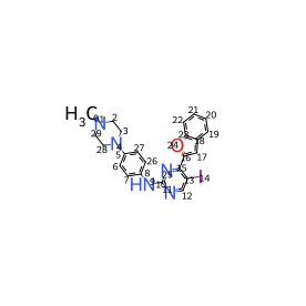 CN1CCN(c2ccc(Nc3ncc(I)c(-c4cc5ccccc5o4)n3)cc2)CC1